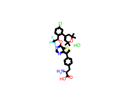 CC1(C)C=C(c2cc(Cl)ccc2[C@@H](Oc2ncnc3c(-c4ccc(C[C@H](N)C(=O)O)cc4)csc23)C(F)(F)F)CC(C)(C)O1.Cl